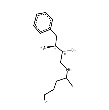 CC(C)CCCC(C)NC[C@@H](O)[C@@H](N)Cc1ccccc1